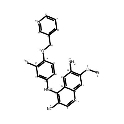 CCOc1cc2ncc(C#N)c(Nc3ccc(OCc4cccnc4)c(Cl)c3)c2cc1N